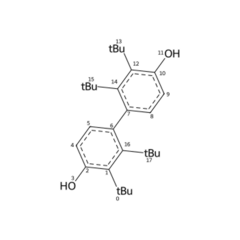 CC(C)(C)c1c(O)ccc(-c2ccc(O)c(C(C)(C)C)c2C(C)(C)C)c1C(C)(C)C